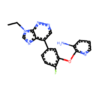 CCn1cnc2c(-c3ccc(F)c(Oc4ncccc4N)c3)cnnc21